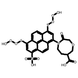 O=C(O)C1CCN(c2cc(SOOO)c3ccc4c(SOOO)cc(S(=O)(=O)O)c5ccc2c3c45)C(=O)COC1